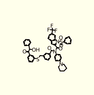 O=C(c1cccc(SCc2cccc(C(=O)N(C(=O)c3cc4ccc(C(F)(F)F)cc4n3S(=O)(=O)c3ccccc3)c3ccc(N4CCCCC4)cc3)c2)c1)C(O)c1ccccc1